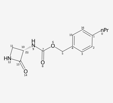 CCCc1ccc(COC(=O)N[C@H]2CNC2=O)cc1